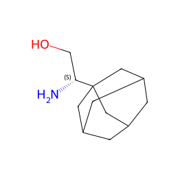 N[C@H](CO)C12CC3CC(CC(C3)C1)C2